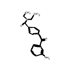 CCN(CC)C(=O)c1ccc(C(=O)c2cccc(N)c2)cc1